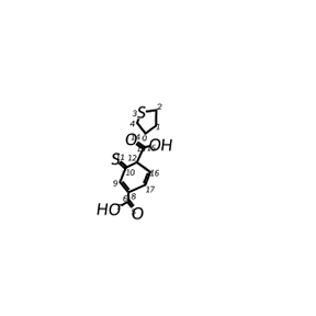 C1CCSC1.O=C(O)C1=CC(=S)C(C(=O)O)C=C1